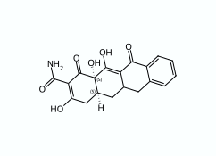 NC(=O)C1=C(O)C[C@@H]2CC3Cc4ccccc4C(=O)C3=C(O)[C@]2(O)C1=O